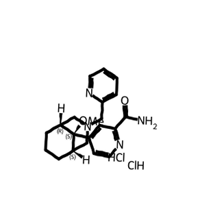 CO[C@]1(c2ccnc(C(N)=O)c2)[C@@H]2CCC[C@H]1CN(Cc1ccccn1)C2.Cl.Cl